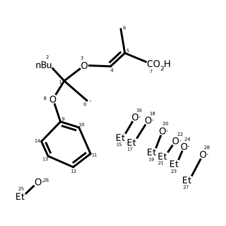 [CH2]C(CCCC)(OC=C(C)C(=O)O)Oc1ccccc1.[CH2]C[O].[CH2]C[O].[CH2]C[O].[CH2]C[O].[CH2]C[O].[CH2]C[O].[CH2]C[O]